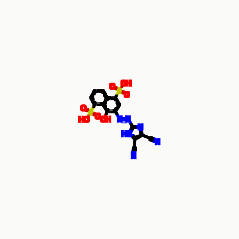 N#Cc1nc(/N=N/c2cc(S(=O)(=O)O)c3cccc(S(=O)(=O)O)c3c2O)[nH]c1C#N